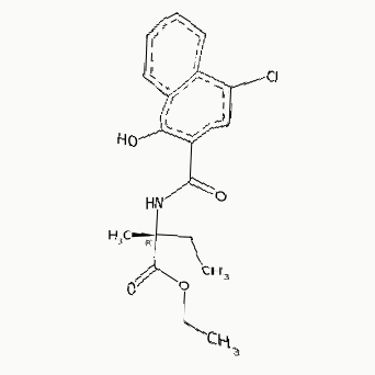 CCOC(=O)[C@@](C)(CC)NC(=O)c1cc(Cl)c2ccccc2c1O